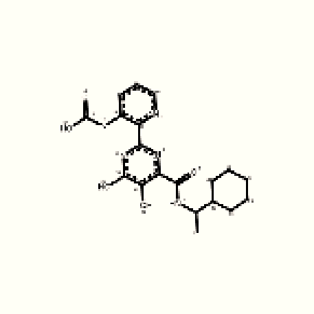 CC(NC(=O)c1nc(-c2ncccc2NC(=O)O)nc(O)c1O)C1CCCCC1